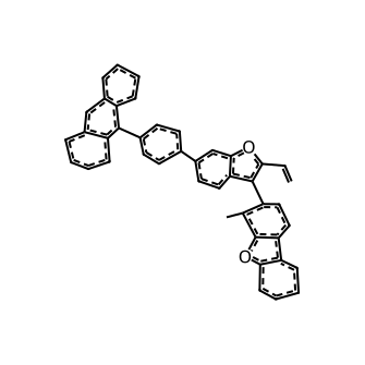 C=Cc1oc2cc(-c3ccc(-c4c5ccccc5cc5ccccc45)cc3)ccc2c1-c1ccc2c(oc3ccccc32)c1C